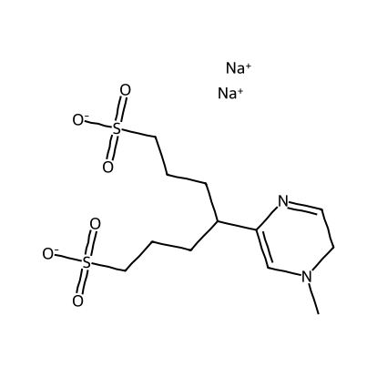 CN1C=C(C(CCCS(=O)(=O)[O-])CCCS(=O)(=O)[O-])N=CC1.[Na+].[Na+]